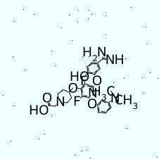 CN(C)c1cccc(Oc2nc(Oc3cc(C(=N)N)ccc3O)c(F)c(OC3CCN(CC(=O)O)CC3)c2F)c1